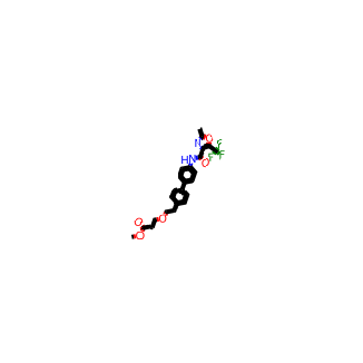 COC(=O)CCOCCc1ccc(-c2ccc(NC(=O)c3nc(C)oc3C(F)(F)F)cc2)cc1